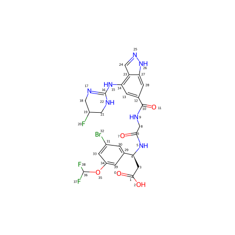 O=C(O)C[C@H](NC(=O)CNC(=O)c1cc(NC2=NCC(F)CN2)c2cn[nH]c2c1)c1cc(Br)cc(OC(F)F)c1